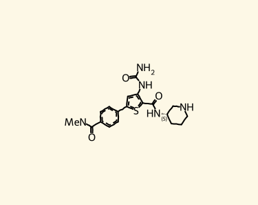 CNC(=O)c1ccc(-c2cc(NC(N)=O)c(C(=O)N[C@H]3CCCNC3)s2)cc1